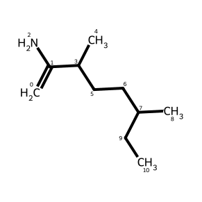 C=C(N)C(C)CCC(C)CC